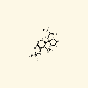 CC(=O)OC1(c2cccc(OC(F)(F)F)c2C)CCCC1